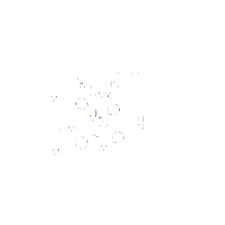 COc1cc(OC)c(/C=C/C(c2cccc(OCNCC(=O)[O-])c2)S(=O)(=O)C(/C=C/c2c(OC)cc(OC)cc2OC)c2cccc(OCNCC(=O)[O-])c2)c(OC)c1.[Na+].[Na+]